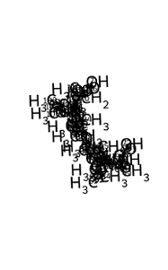 C=C(NOCC(=O)O)c1cc(-c2nc3n(n2)/C(=N/c2cc4c(cc2C)N(CCOCCN2c5cc(C)c(/N=C6\C(C#N)=C(C(=O)OC7C(C)CC(C)CC7C)c7nc(-c8ccc(OC)c(NC(=O)CCC(=O)O)c8)nn76)cc5C(C)CC2(C)C)C(C)(C)CC4C)C(C#N)=C3COOC2C(C)CC(C)CC2C)ccc1OC